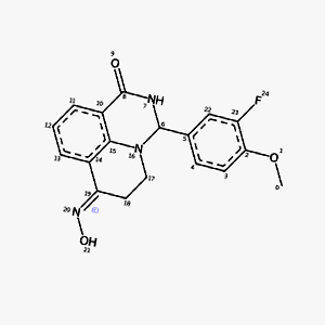 COc1ccc(C2NC(=O)c3cccc4c3N2CC/C4=N\O)cc1F